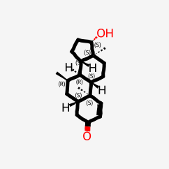 C[C@@H]1C[C@H]2CC(=O)C=C[C@]2(C)[C@H]2CC[C@]3(C)[C@@H](O)CC[C@H]3[C@H]12